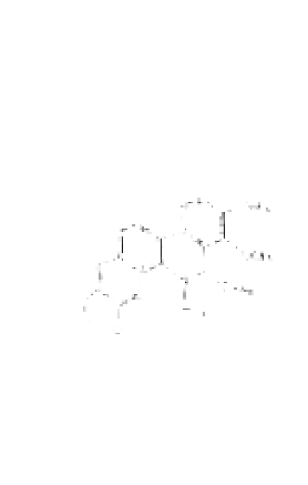 COc1ccc2c(c1OC)C(OC)N(C)c1c-2ccc2cc3c(cc12)OCO3